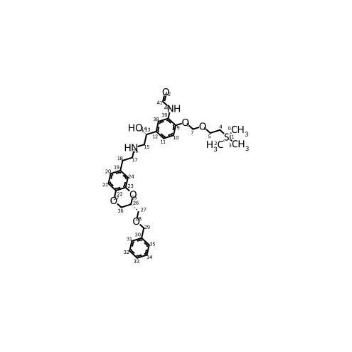 C[Si](C)(C)CCOCOc1ccc([C@@H](O)CNCCc2ccc3c(c2)O[C@H](COCc2ccccc2)CO3)cc1NC=O